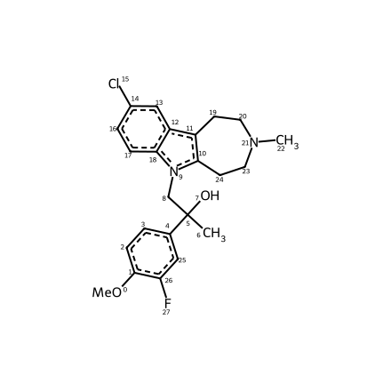 COc1ccc(C(C)(O)Cn2c3c(c4cc(Cl)ccc42)CCN(C)CC3)cc1F